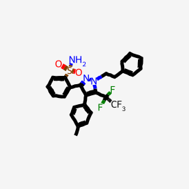 Cc1ccc(-c2c(-c3ccccc3S(N)(=O)=O)nn(CCc3ccccc3)c2C(F)(F)C(F)(F)F)cc1